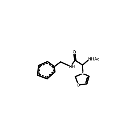 CC(=O)NC(C(=O)NCc1ccccc1)N1C=COC1